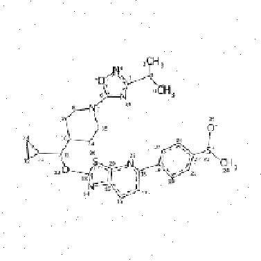 CC(C)c1noc(N2CCC(C(Oc3nc4ccc(-c5ccc([S+](C)[O-])cc5)nc4s3)C3CC3)CC2)n1